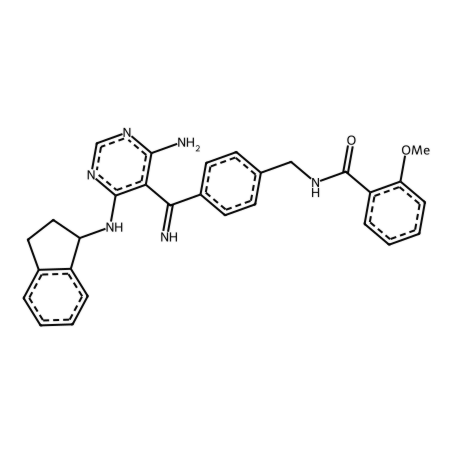 COc1ccccc1C(=O)NCc1ccc(C(=N)c2c(N)ncnc2NC2CCc3ccccc32)cc1